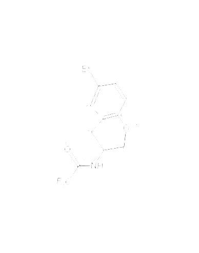 CCc1ccc2c(c1)CC(NC(=O)C(F)(F)F)CO2